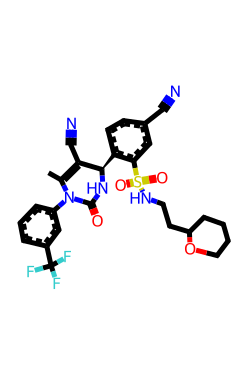 CC1=C(C#N)[C@@H](c2ccc(C#N)cc2S(=O)(=O)NCCC2CCCCO2)NC(=O)N1c1cccc(C(F)(F)F)c1